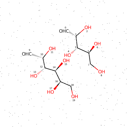 O=C[C@H](O)[C@@H](O)[C@@H](O)CO.O=C[C@H](O)[C@@H](O)[C@@H](O)[C@H](O)CO